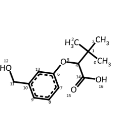 CC(C)(C)C(Oc1cccc(CO)c1)C(=O)O